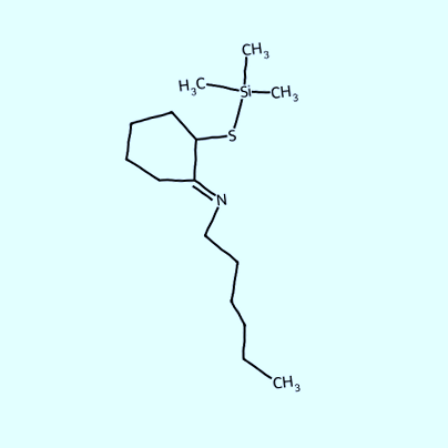 CCCCCC/N=C1\CCCCC1S[Si](C)(C)C